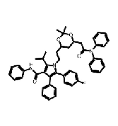 CC(C)c1c(C(=O)Nc2ccccc2)c(-c2ccccc2)c(-c2ccc(F)cc2)n1CCC1CC(CC(=O)N(c2ccccc2)c2ccccc2)OC(C)(C)O1